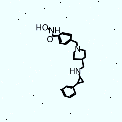 O=C(NO)c1ccc(CN2CCC(CNC3CC3c3ccccc3)CC2)cc1